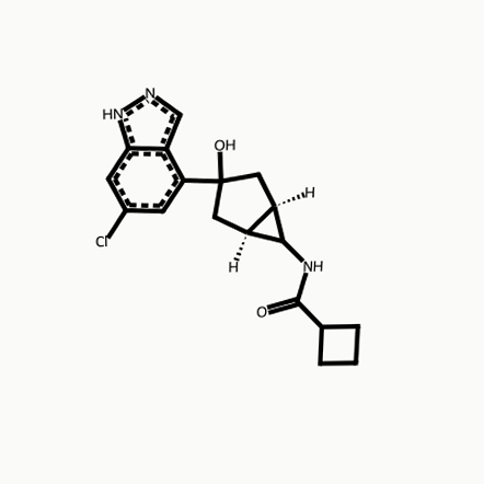 O=C(NC1[C@H]2CC(O)(c3cc(Cl)cc4[nH]ncc34)C[C@@H]12)C1CCC1